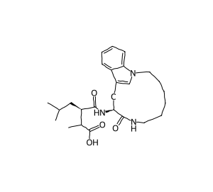 CC(C)C[C@@H](C(=O)N[C@H]1Cc2cn(c3ccccc23)CCCCCCNC1=O)C(C)C(=O)O